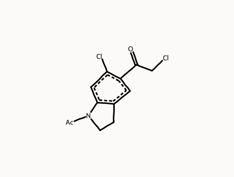 CC(=O)N1CCc2cc(C(=O)CCl)c(Cl)cc21